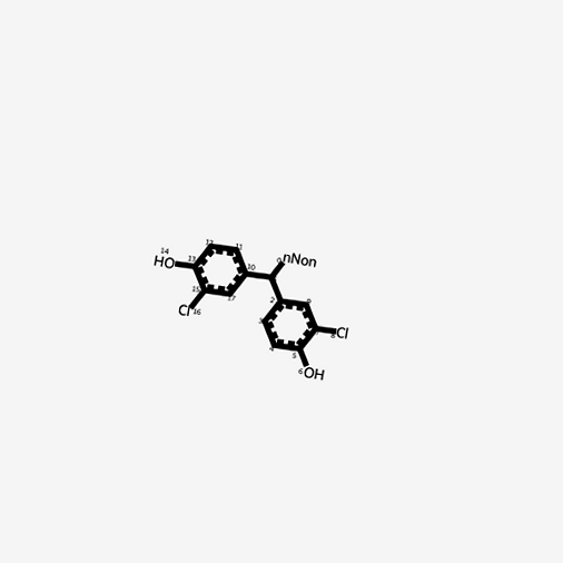 CCCCCCCCCC(c1ccc(O)c(Cl)c1)c1ccc(O)c(Cl)c1